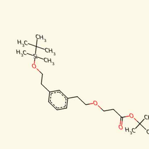 CC(C)(C)OC(=O)CCOCCc1cccc(CCO[Si](C)(C)C(C)(C)C)c1